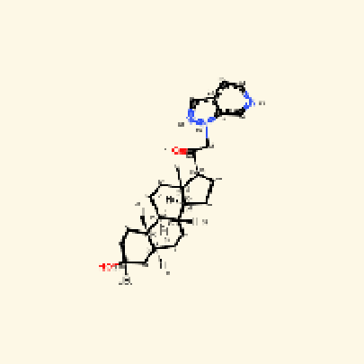 CC[C@@]1(O)CC[C@H]2[C@@H](CC[C@@H]3[C@@H]2CC[C@]2(C)[C@@H](C(=O)Cn4ncc5ccncc54)CC[C@@H]32)C1